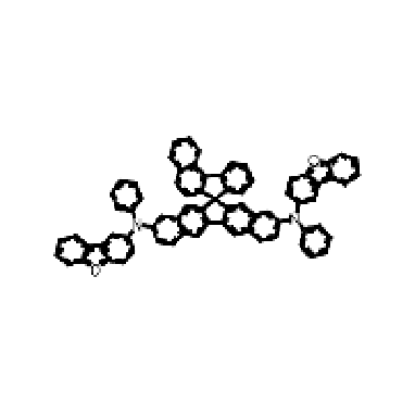 c1ccc(N(c2ccc3cc4c(cc3c2)C2(c3cc5cc(N(c6ccccc6)c6ccc7oc8ccccc8c7c6)ccc5cc3-4)c3ccccc3-c3c2ccc2ccccc32)c2ccc3oc4ccccc4c3c2)cc1